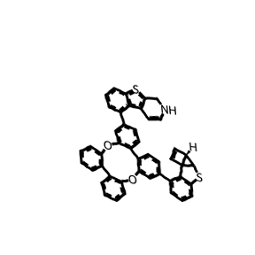 C1=Cc2c(sc3cccc(-c4ccc5c(c4)Oc4ccccc4-c4ccccc4Oc4cc(-c6cccc7c6C68C=C[C@@H]6C8S7)ccc4-5)c23)CN1